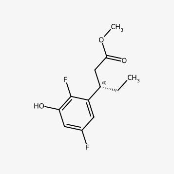 CC[C@@H](CC(=O)OC)c1cc(F)cc(O)c1F